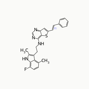 Cc1[nH]c2c(F)ccc(C)c2c1CCNc1ncnc2cc(/C=C/c3ccccc3)sc12